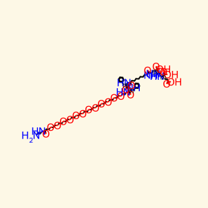 NCCNC(=O)CCOCCOCCOCCOCCOCCOCCOCCOCCOCCOCCOCCOCCNC(=O)[C@H](Cc1ccccc1)NC(=O)[C@H](Cc1ccccc1)NC(=O)CCCCCCCNC(=O)CC[C@H](NC(=O)N[C@@H](CCC(=O)O)C(=O)O)C(=O)O